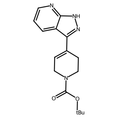 CC(C)(C)OC(=O)N1CC=C(c2n[nH]c3ncccc23)CC1